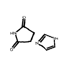 O=C1CCC(=O)N1.c1c[nH]cn1